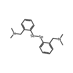 CN(C)Cc1ccccc1[Se][Se]c1ccccc1CN(C)C